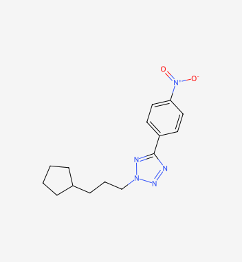 O=[N+]([O-])c1ccc(-c2nnn(CCCC3CCCC3)n2)cc1